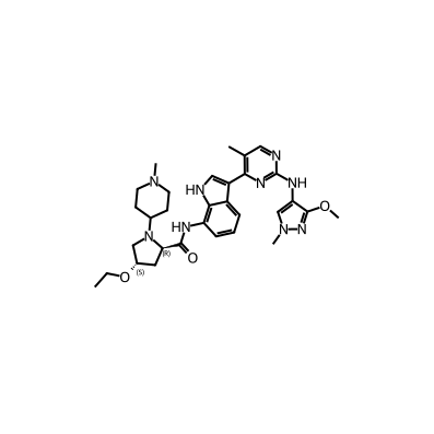 CCO[C@H]1C[C@H](C(=O)Nc2cccc3c(-c4nc(Nc5cn(C)nc5OC)ncc4C)c[nH]c23)N(C2CCN(C)CC2)C1